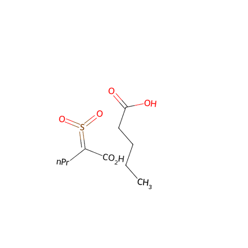 CCCC(C(=O)O)=S(=O)=O.CCCCC(=O)O